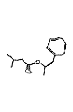 CC(C)CC(=O)OC(C)Cc1ccccc1